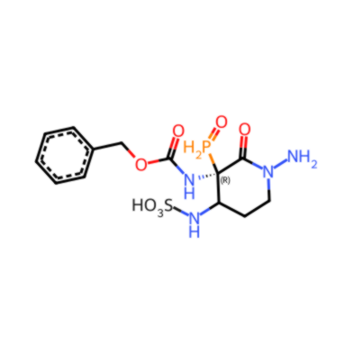 NN1CCC(NS(=O)(=O)O)[C@@](NC(=O)OCc2ccccc2)([PH2]=O)C1=O